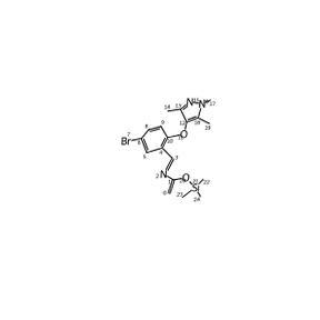 C=C(/N=C/c1cc(Br)ccc1Oc1c(C)nn(C)c1C)O[Si](C)(C)C